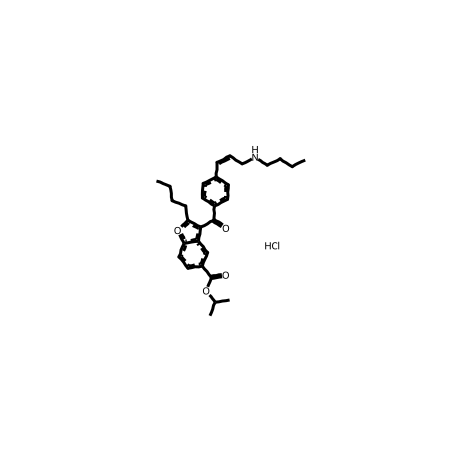 CCCCNC/C=C\c1ccc(C(=O)c2c(CCCC)oc3ccc(C(=O)OC(C)C)cc23)cc1.Cl